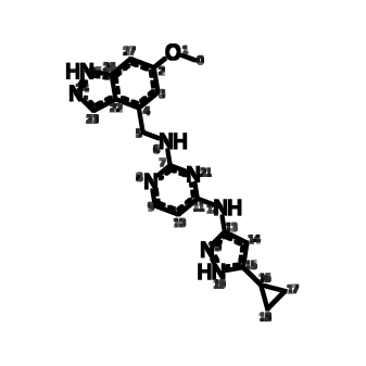 COc1cc(CNc2nccc(Nc3cc(C4CC4)[nH]n3)n2)c2cn[nH]c2c1